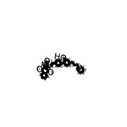 O=C1c2ccccc2C(=O)c2c1n[n+]([O-])n2CCc1ccc(-c2ccc(CCCN3CCCCC3)cc2O)cc1